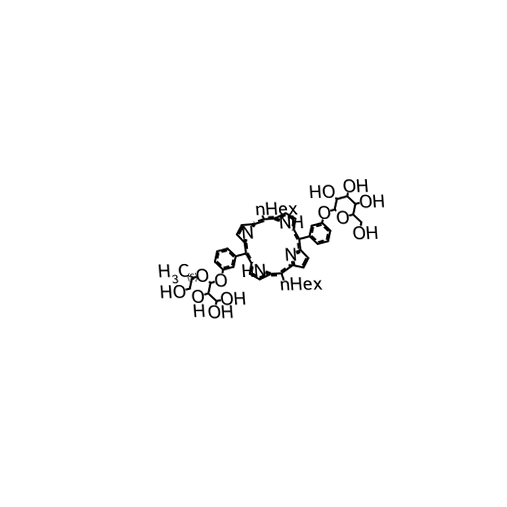 CCCCCCc1c2nc(c(-c3cccc(OC4OC(CO)C(O)C(O)C4O)c3)c3ccc([nH]3)c(CCCCCC)c3nc(c(-c4cccc(OC(O[C@@H](C)CO)C(O)C(O)O)c4)c4ccc1[nH]4)C=C3)C=C2